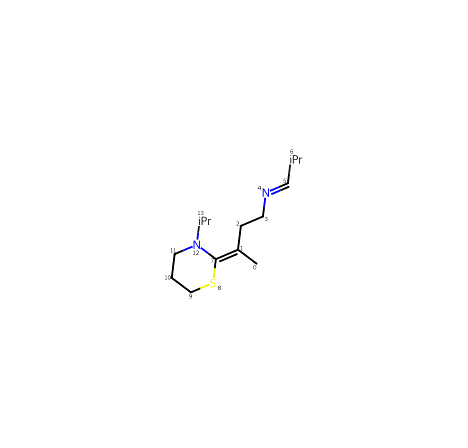 C/C(CC/N=C/C(C)C)=C1\SCCCN1C(C)C